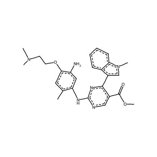 COC(=O)c1cnc(Nc2cc(N)c(OCCN(C)C)cc2C)nc1-c1cn(C)c2ccccc12